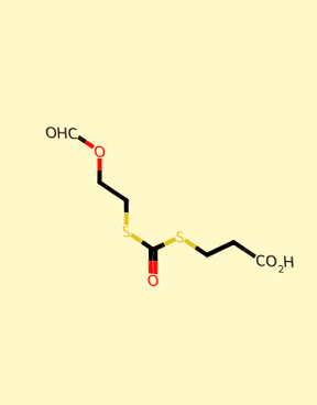 O=COCCSC(=O)SCCC(=O)O